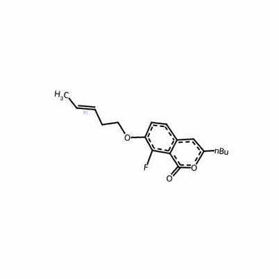 C/C=C/CCOc1ccc2cc(CCCC)oc(=O)c2c1F